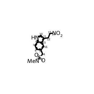 CNS(=O)(=O)Cc1ccc2[nH]cc(CC[N+](=O)[O-])c2c1